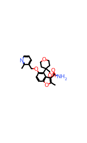 Cc1ncccc1COc1ccc2oc(C)c(C(N)=O)c2c1C1(CO)CCOCC1